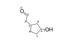 O=CCC1CCC(O)C1